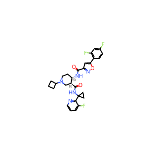 O=C(N[C@H]1CCN(C2CCC2)C[C@@H]1C(=O)NC1(c2ncccc2F)CC1)c1cc(-c2ccc(F)cc2F)on1